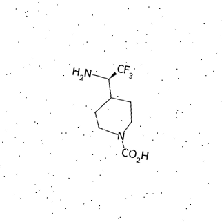 N[C@H](C1CCN(C(=O)O)CC1)C(F)(F)F